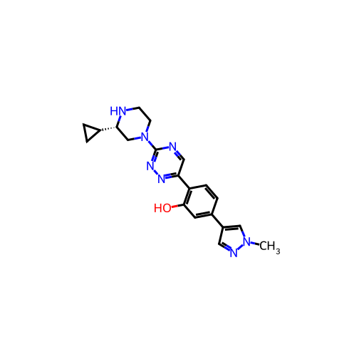 Cn1cc(-c2ccc(-c3cnc(N4CCN[C@@H](C5CC5)C4)nn3)c(O)c2)cn1